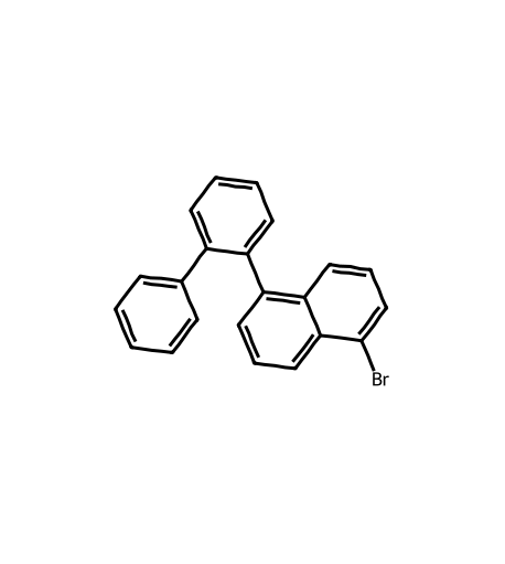 Brc1cccc2c(-c3ccccc3-c3ccccc3)cccc12